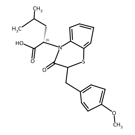 COc1ccc(CC2Sc3ccccc3N([C@@H](CC(C)C)C(=O)O)C2=O)cc1